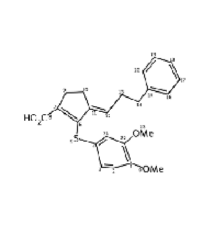 COc1ccc(SC2=C(C(=O)O)CCC2=CCCc2ccccc2)cc1OC